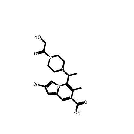 Cc1c(C(=O)O)cc2cc(Br)cn2c1C(C)N1CCN(C(=O)CO)CC1